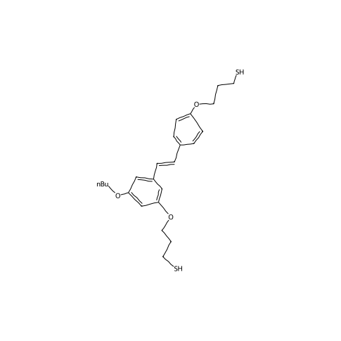 CCCCOc1cc(/C=C/c2ccc(OCCCS)cc2)cc(OCCCS)c1